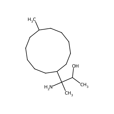 CC1CCCCCC(C(C)(N)C(C)O)CCCCC1